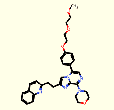 COCCOCCOc1ccc(-c2cnc(N3CCOCC3)c3nc(CCc4ccc5ccccc5n4)cn23)cc1